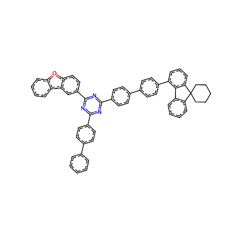 c1ccc(-c2ccc(-c3nc(-c4ccc(-c5ccc(-c6cccc7c6-c6ccccc6C76CCCCC6)cc5)cc4)nc(-c4ccc5oc6ccccc6c5c4)n3)cc2)cc1